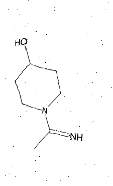 CC(=N)N1CCC(O)CC1